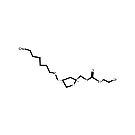 CCCCCCCCCCCCCCCCOC[C@H]1CO[C@H](COC(=O)NCCO)C1